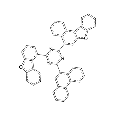 c1ccc2c(c1)cc(-c1nc(-c3cc4oc5ccccc5c4c4ccccc34)nc(-c3cccc4oc5ccccc5c34)n1)c1ccccc12